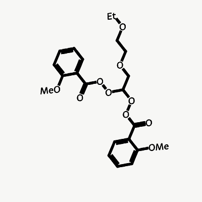 [CH2]COCCOC[C](OOC(=O)c1ccccc1OC)OOC(=O)c1ccccc1OC